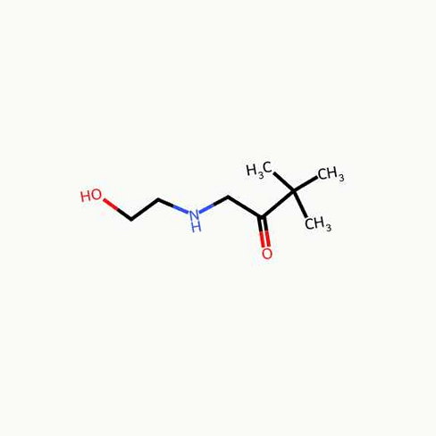 CC(C)(C)C(=O)CNCCO